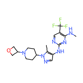 CNc1nc(Nc2cnn(C3CCN(C4COC4)CC3)c2C)ncc1C(F)(F)F